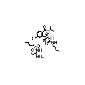 CCCCNC(=O)NS(=O)(=O)c1cc(Cl)ccc1C(=O)OC(C)C.CCCCS(=O)(=O)NC(N)=O